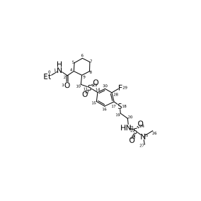 CCNC(=O)C1CCCCC1CS(=O)(=O)c1ccc(SCCNS(=O)(=O)N(C)C)c(F)c1